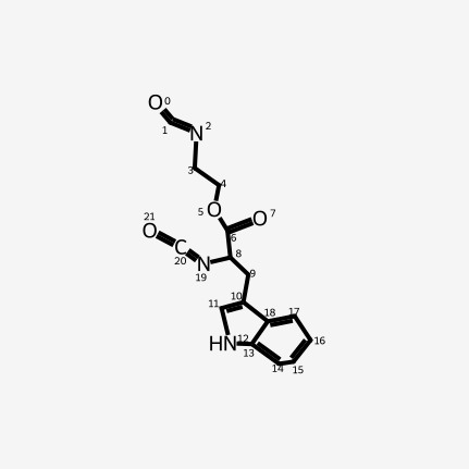 O=C=NCCOC(=O)C(Cc1c[nH]c2ccccc12)N=C=O